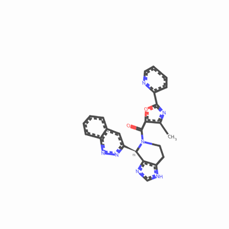 Cc1nc(-c2ccccn2)oc1C(=O)N1CCc2[nH]cnc2[C@H]1c1cc2ccccc2nn1